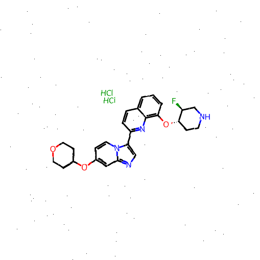 Cl.Cl.F[C@H]1CNCC[C@@H]1Oc1cccc2ccc(-c3cnc4cc(OC5CCOCC5)ccn34)nc12